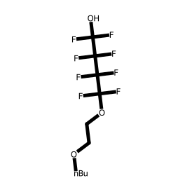 CCCCOCCOC(F)(F)C(F)(F)C(F)(F)C(O)(F)F